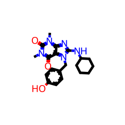 Cn1c(=O)c2c(nc(NC3CCCCC3)n2Cc2ccc(O)cc2)n(C)c1=O